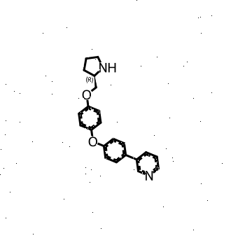 c1cncc(-c2ccc(Oc3ccc(OC[C@H]4CCCN4)cc3)cc2)c1